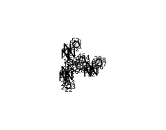 c1ccc(-c2ncnc(-c3ccc4c(-c5ncnc(-c6ccccc6)n5)cc5cc(-c6ncnc(-c7ccccc7)n6)c6ccccc6c5c4c3)n2)cc1